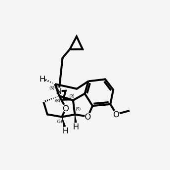 COc1ccc2c3c1O[C@@H]1[C@@H]4CC[C@]5(O4)[C@H](C2)N(CC2CC2)CC[C@@]315